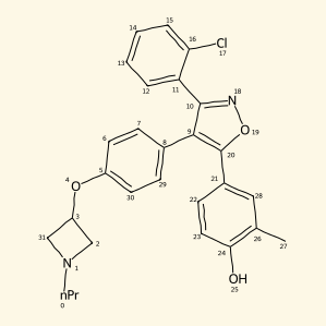 CCCN1CC(Oc2ccc(-c3c(-c4ccccc4Cl)noc3-c3ccc(O)c(C)c3)cc2)C1